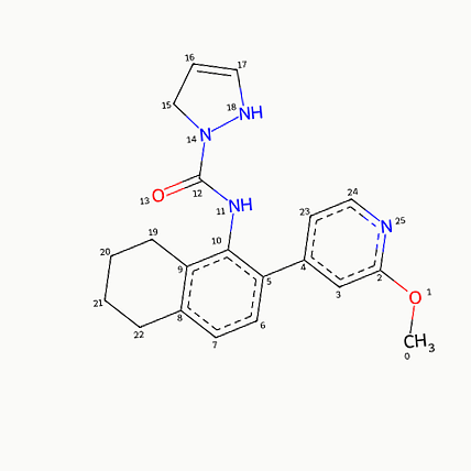 COc1cc(-c2ccc3c(c2NC(=O)N2CC=CN2)CCCC3)ccn1